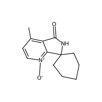 Cc1cc[n+]([O-])c2c1C(=O)NC21CCCCC1